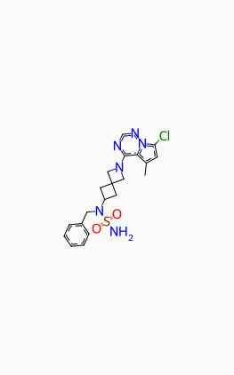 Cc1cc(Cl)n2ncnc(N3CC4(CC(N(Cc5ccccc5)S(N)(=O)=O)C4)C3)c12